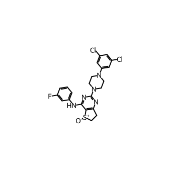 [O-][S+]1CCc2nc(N3CCN(c4cc(Cl)cc(Cl)c4)CC3)nc(Nc3cccc(F)c3)c21